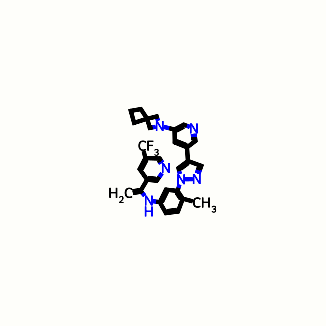 C=C(Nc1ccc(C)c(-n2cc(-c3cncc(N4CC5(CCC5)C4)c3)cn2)c1)c1cncc(C(F)(F)F)c1